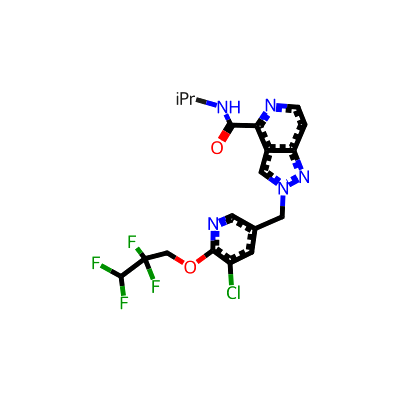 CC(C)NC(=O)c1nccc2nn(Cc3cnc(OCC(F)(F)C(F)F)c(Cl)c3)cc12